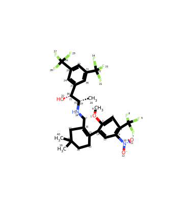 COc1cc(C(F)(F)F)c([N+](=O)[O-])cc1C1=C(CN[C@@H](C)[C@H](O)c2cc(C(F)(F)F)cc(C(F)(F)F)c2)CC(C)(C)CC1